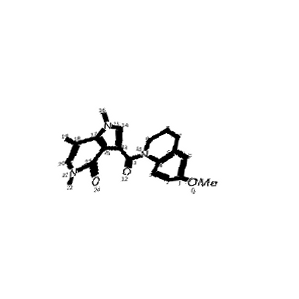 COc1ccc2c(c1)CCCN2C(=O)c1cn(C)c2c(C)cn(C)c(=O)c12